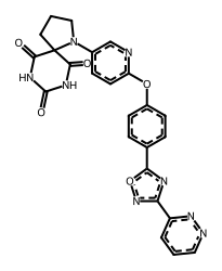 O=C1NC(=O)C2(CCCN2c2ccc(Oc3ccc(-c4nc(-c5cccnn5)no4)cc3)nc2)C(=O)N1